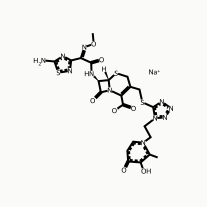 CO/N=C(\C(=O)N[C@@H]1C(=O)N2C(C(=O)[O-])=C(CSc3nnnn3CCn3ccc(=O)c(O)c3C)CS[C@@H]12)c1nsc(N)n1.[Na+]